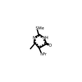 CCCc1c(C)nc(SC)[nH]c1=O